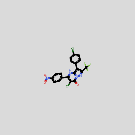 O=c1c(Cl)c(-c2ccc([N+](=O)[O-])cc2)[nH]c2c(-c3ccc(Cl)cc3)c(C(F)(F)F)nn12